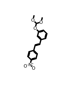 COC(OC)Oc1cccc(C=Cc2ccc([N+](=O)[O-])cc2)c1